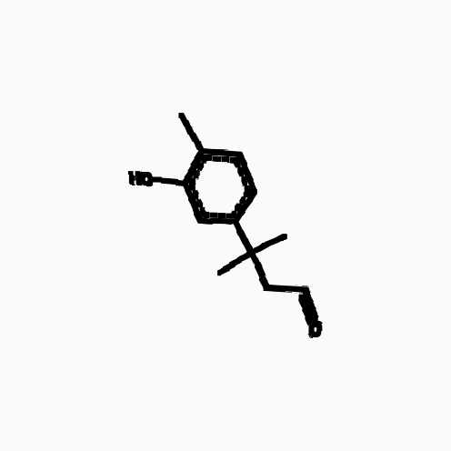 Cc1ccc(C(C)(C)CC=O)cc1O